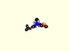 c1ccc(-c2nc(-c3ccc(-c4ccc5c(c4)C4(CCCCC4)c4ccccc4-5)cc3)nc(-c3ccc4c(c3)oc3ccccc34)n2)cc1